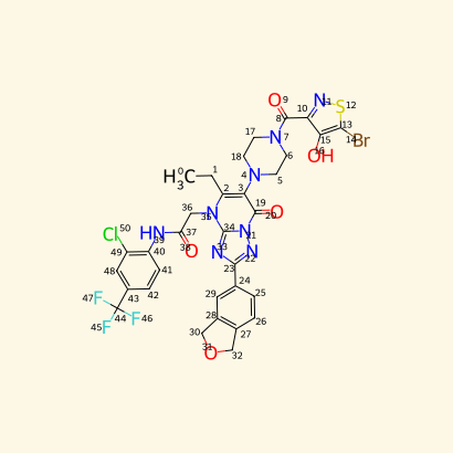 CCc1c(N2CCN(C(=O)c3nsc(Br)c3O)CC2)c(=O)n2nc(-c3ccc4c(c3)COC4)nc2n1CC(=O)Nc1ccc(C(F)(F)F)cc1Cl